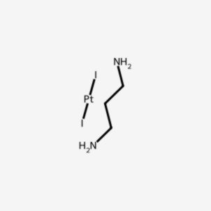 NCCCN.[I][Pt][I]